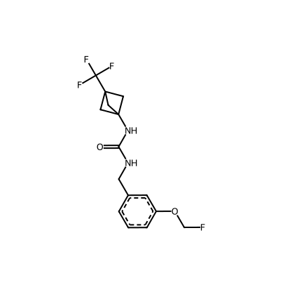 O=C(NCc1cccc(OCF)c1)NC12CC(C(F)(F)F)(C1)C2